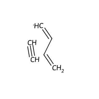 C#C.[CH]=CC=C